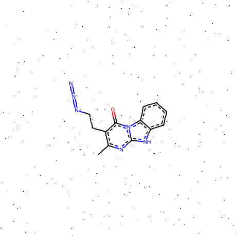 Cc1nc2[nH]c3ccccc3n2c(=O)c1CCN=[N+]=[N-]